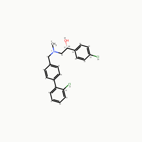 CN(Cc1ccc(-c2ccccc2Cl)cc1)C[C@H](O)c1ccc(Cl)cc1